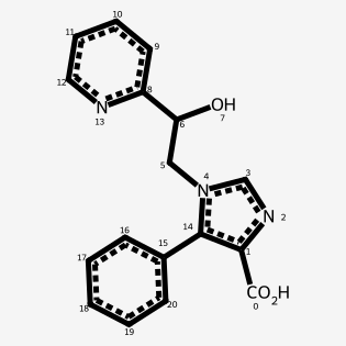 O=C(O)c1ncn(CC(O)c2ccccn2)c1-c1ccccc1